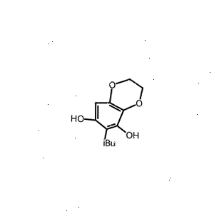 CCC(C)c1c(O)cc2c(c1O)OCCO2